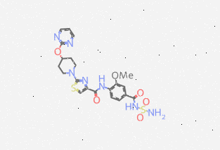 COc1cc(C(=O)NS(N)(=O)=O)ccc1NC(=O)c1csc(N2CCC(Oc3ncccn3)CC2)n1